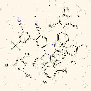 Cc1cc(C)c(-c2ccc3c4ccc(-c5c(C)cc(C)cc5C)cc4n(-c4cc(C#N)c(-c5cc(C#N)cc(C(F)(F)F)c5)cc4-n4c5cc(-c6c(C)cc(C)cc6C)ccc5c5ccc(-c6c(C)cc(C)cc6C)cc54)c3c2)c(C)c1